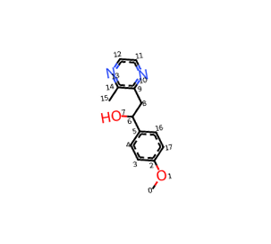 COc1ccc(C(O)Cc2nccnc2C)cc1